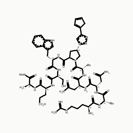 CCC(C)[C@H](NC(=O)[C@@H](N)CCCNC(=N)N)C(=O)N[C@@H](CC(N)=O)C(=O)[SiH2][C@@H](CC(N)=O)C(=O)N[C@H](C(=O)N1C[C@@H](n2cc(C3=CC=CC3)nn2)CC1C(=O)N[C@@H](Cc1c[nH]c2ccccc12)C(=O)N[C@@H](CO)C(=O)N[C@@H](CCC(=O)O)C(=O)N[C@@H](C)C(=O)NC)C(C)CC